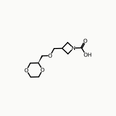 O=C(O)N1CC(COC[C@@H]2COCCO2)C1